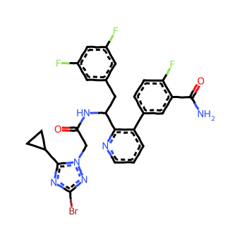 NC(=O)c1cc(-c2cccnc2C(Cc2cc(F)cc(F)c2)NC(=O)Cn2nc(Br)nc2C2CC2)ccc1F